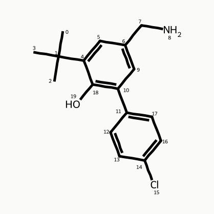 CC(C)(C)c1cc(CN)cc(-c2ccc(Cl)cc2)c1O